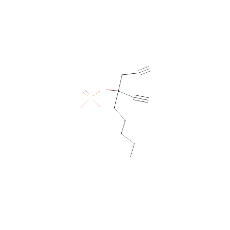 C#CCC(C#C)(CCCCC)OP(=O)(O)O